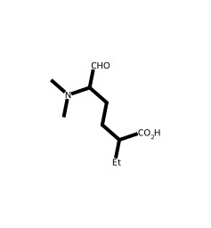 CCC(CCC(C=O)N(C)C)C(=O)O